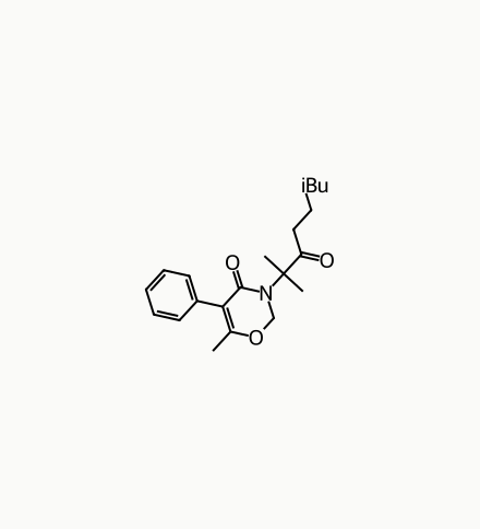 CCC(C)CCC(=O)C(C)(C)N1COC(C)=C(c2ccccc2)C1=O